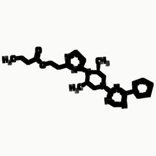 CCCC(=O)OCCc1nccc(N2[C@H](C)CN(c3ncnc(-c4ccccc4)n3)C[C@@H]2C)n1